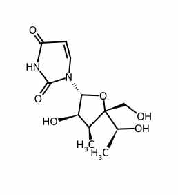 C[C@H](O)[C@@]1(CO)O[C@@H](n2ccc(=O)[nH]c2=O)[C@H](O)[C@@H]1C